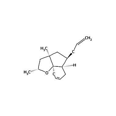 C=CC[C@@H]1C[C@]2(C)C[C@@H](C)O[C@@]23CC=CC[C@H]13